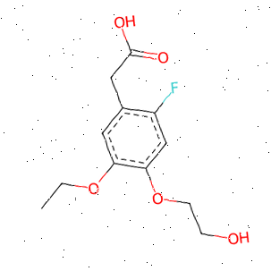 CCOc1cc(CC(=O)O)c(F)cc1OCCO